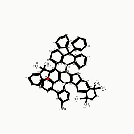 CCCCc1ccc(N2c3cc4c(c5c3B(c3sc6cc7c(cc6c32)C(C)(C)CCC7(C)C)N2c3ccccc3C(c3ccccc3)(c3ccccc3)c3cccc-5c32)C(C)(C)c2ccccc2-4)c(-c2ccccc2)c1